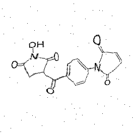 O=C(c1ccc(N2C(=O)C=CC2=O)cc1)C1CC(=O)N(O)C1=O